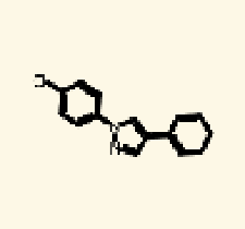 Clc1ccc(-n2cc(C3=CCCC=C3)cn2)cc1